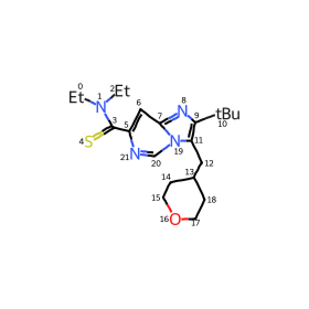 CCN(CC)C(=S)c1cc2nc(C(C)(C)C)c(CC3CCOCC3)n2cn1